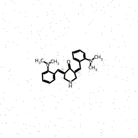 CN(C)c1ccccc1/C=C1/CNC/C(=C\c2ccccc2N(C)C)C1=O